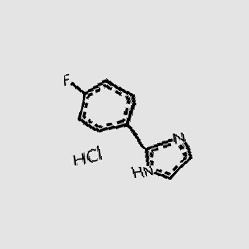 Cl.Fc1ccc(-c2ncc[nH]2)cc1